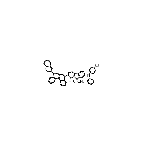 Cc1ccc(N(c2ccccc2)c2ccc3c(c2)C(C)(C)c2cc(-c4cc5cc(C6=CCC7C=CC=CC7=C6)c6ccccc6c5c5ccccc45)ccc2-3)cc1